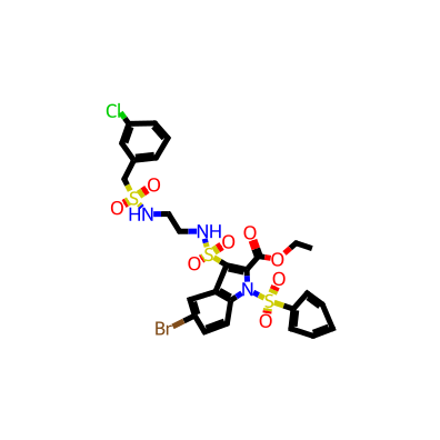 CCOC(=O)c1c(S(=O)(=O)NCCNS(=O)(=O)Cc2cccc(Cl)c2)c2cc(Br)ccc2n1S(=O)(=O)c1ccccc1